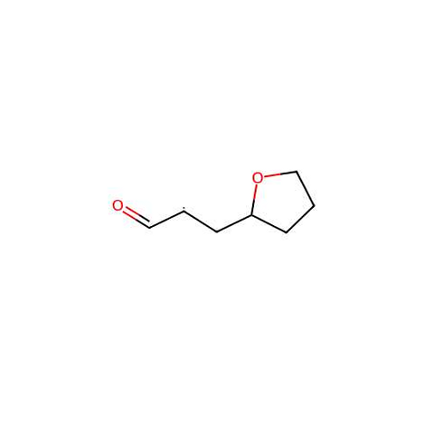 O=C[CH]CC1CCCO1